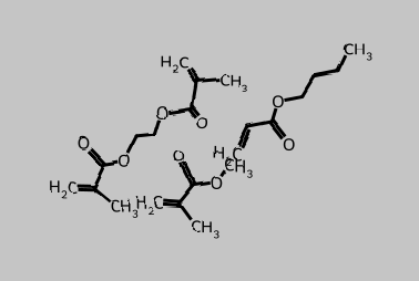 C=C(C)C(=O)OC.C=C(C)C(=O)OCCOC(=O)C(=C)C.C=CC(=O)OCCCC